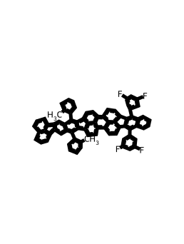 Cc1ccccc1-c1c2cc3c(cc2c(-c2ccccc2C)c2c4ccc5c6ccc7c8c(ccc(c9ccc(c12)c4c95)c86)-c1c-7c(-c2cc(F)cc(F)c2)c2ccccc2c1-c1cc(F)cc(F)c1)c1cccc2cccc3c21